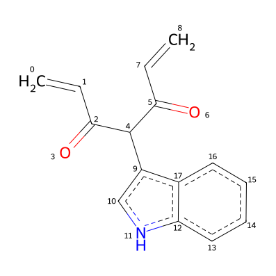 C=CC(=O)C(C(=O)C=C)c1c[nH]c2ccccc12